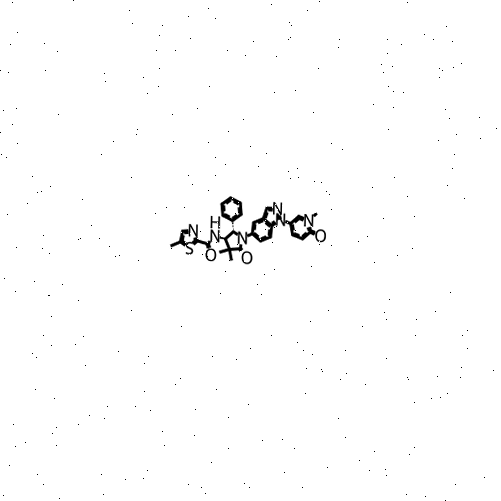 Cc1cnc(C(=O)N[C@H]2[C@H](c3ccccc3)N(c3ccc4c(cnn4-c4ccc(=O)n(C)c4)c3)C(=O)C2(C)C)s1